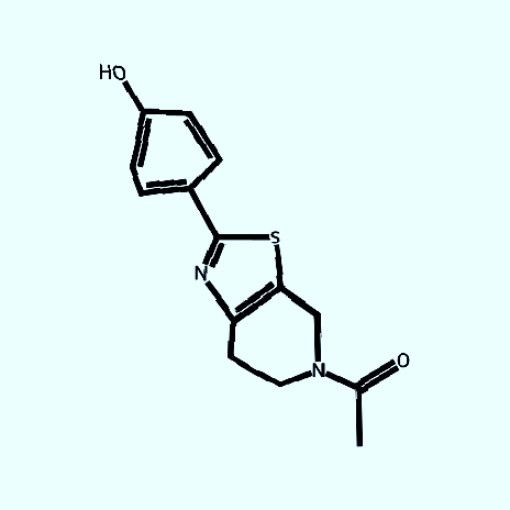 CC(=O)N1CCc2nc(-c3ccc(O)cc3)sc2C1